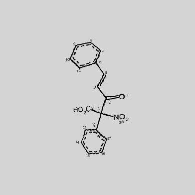 O=C(O)C(C(=O)C=Cc1ccccc1)(c1ccccc1)[N+](=O)[O-]